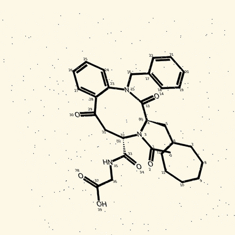 CC(=O)N1[C@H](CC2CCCCCC2)C(=O)N(Cc2ccccc2)c2ccccc2C(=O)C[C@H]1C(=O)NCC(=O)O